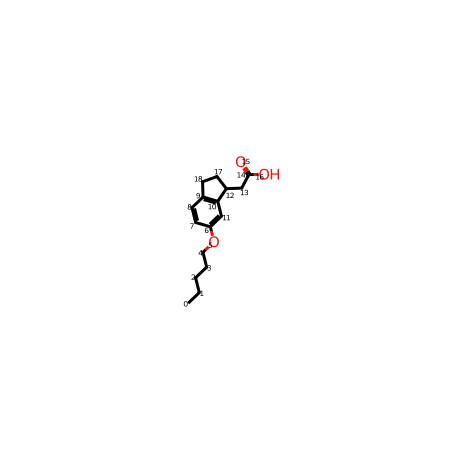 CCCCCOc1ccc2c(c1)C(CC(=O)O)CC2